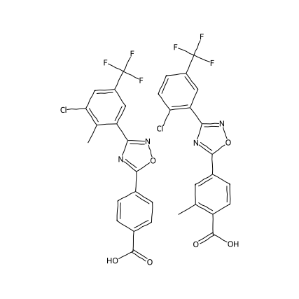 Cc1c(Cl)cc(C(F)(F)F)cc1-c1noc(-c2ccc(C(=O)O)cc2)n1.Cc1cc(-c2nc(-c3cc(C(F)(F)F)ccc3Cl)no2)ccc1C(=O)O